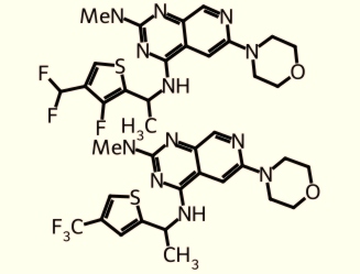 CNc1nc(NC(C)c2cc(C(F)(F)F)cs2)c2cc(N3CCOCC3)ncc2n1.CNc1nc(NC(C)c2scc(C(F)F)c2F)c2cc(N3CCOCC3)ncc2n1